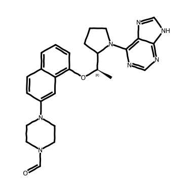 C[C@@H](Oc1cccc2ccc(N3CCN(C=O)CC3)cc12)C1CCCN1c1ncnc2[nH]cnc12